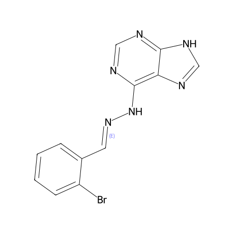 Brc1ccccc1/C=N/Nc1ncnc2[nH]cnc12